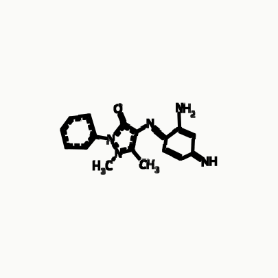 Cc1c(N=C2C=CC(=N)C=C2N)c(=O)n(-c2ccccc2)n1C